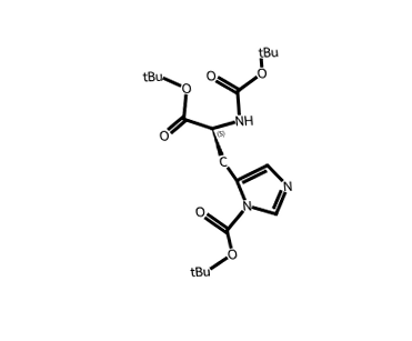 CC(C)(C)OC(=O)N[C@@H](Cc1cncn1C(=O)OC(C)(C)C)C(=O)OC(C)(C)C